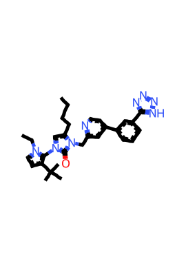 CCCCc1cn(-c2c(C(C)(C)C)ccn2CC)c(=O)n1Cc1cc(-c2cccc(-c3nnn[nH]3)c2)ccn1